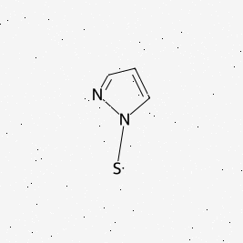 [S]n1cccn1